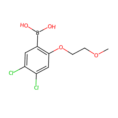 COCCOc1cc(Cl)c(Cl)cc1B(O)O